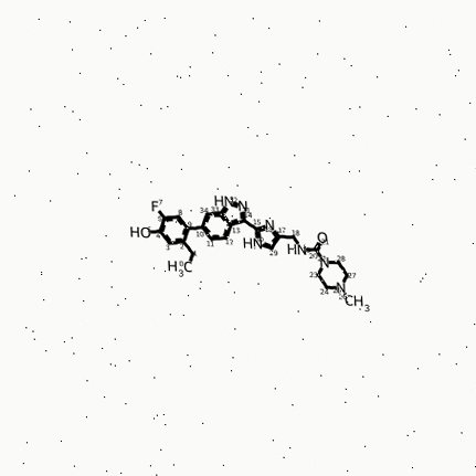 CCc1cc(O)c(F)cc1-c1ccc2c(-c3nc(CNC(=O)N4CCN(C)CC4)c[nH]3)n[nH]c2c1